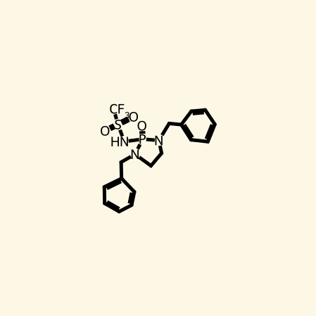 O=P1(NS(=O)(=O)C(F)(F)F)N(Cc2ccccc2)CCN1Cc1ccccc1